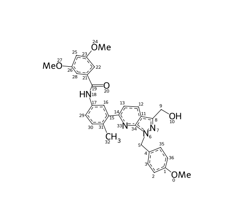 COc1ccc(Cn2nc(CO)c3ccc(-c4cc(NC(=O)c5cc(OC)cc(OC)c5)ccc4C)nc32)cc1